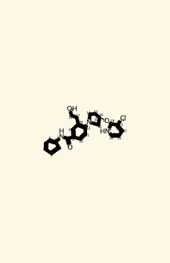 O=C(Nc1ccccc1)c1ccc(N2CC[C@H](OC3NC=CC=C3Cl)C2)c(CCO)c1